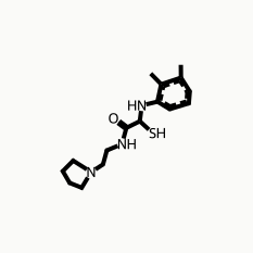 Cc1cccc(NC(S)C(=O)NCCN2CCCC2)c1C